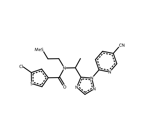 CSCCN(C(=O)c1csc(Cl)c1)C(C)c1ncnn1-c1ccc(C#N)cn1